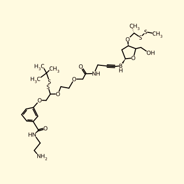 CSS[C@@H](C)O[C@@H]1C[C@H](BC#CCNC(=O)COCCOC(COc2cccc(C(=O)NCCN)c2)SSC(C)(C)C)OC1CO